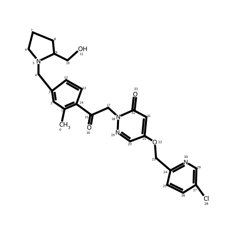 Cc1cc(CN2CCCC2CO)ccc1C(=O)Cn1ncc(OCc2ccc(Cl)cn2)cc1=O